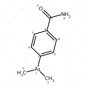 C[As](C)c1ccc(C(N)=O)cc1